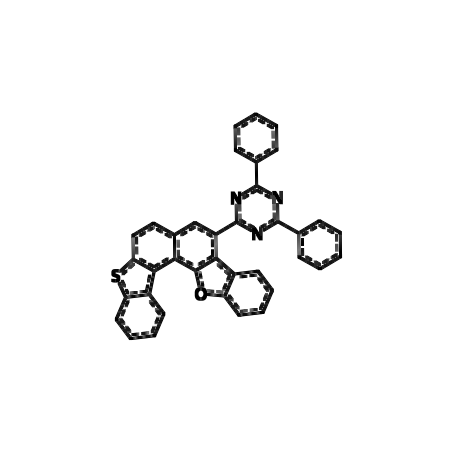 c1ccc(-c2nc(-c3ccccc3)nc(-c3cc4ccc5sc6ccccc6c5c4c4oc5ccccc5c34)n2)cc1